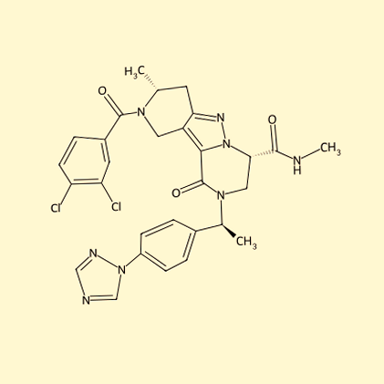 CNC(=O)[C@@H]1CN([C@@H](C)c2ccc(-n3cncn3)cc2)C(=O)c2c3c(nn21)C[C@@H](C)N(C(=O)c1ccc(Cl)c(Cl)c1)C3